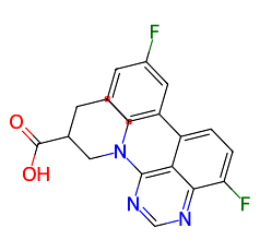 O=C(O)C1CCCN(c2ncnc3c(F)ccc(-c4cccc(F)c4)c23)C1